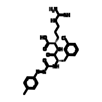 Cc1ccc(N=NC(=O)N[C@@H](Cc2cccc(Cl)c2)C(=O)N[C@@H](CCCNC(=N)N)C(=O)O)cc1